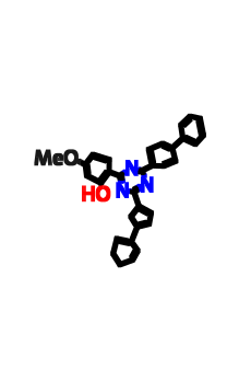 COc1ccc(-c2nc(C3=CC=C(C4=CCCC=C4)C3)nc(-c3ccc(-c4ccccc4)cc3)n2)c(O)c1